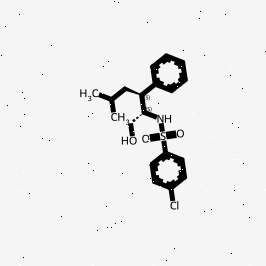 CC(C)C[C@@H](c1ccccc1)[C@@H](CO)NS(=O)(=O)c1ccc(Cl)cc1